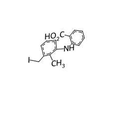 Cc1c(CI)cccc1Nc1ccccc1C(=O)O